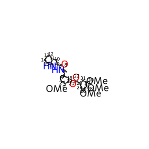 COc1ccc(CNC(=O)c2cc3ccccc3[nH]2)cc1OC(=O)c1cc(OC)c(OC)c(OC)c1